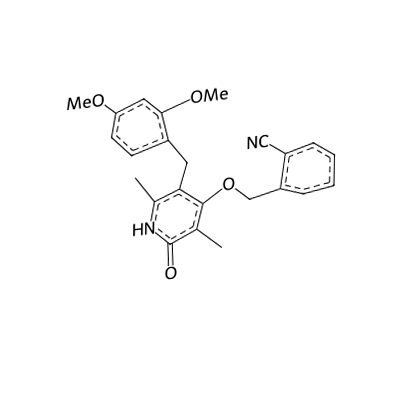 COc1ccc(Cc2c(C)[nH]c(=O)c(C)c2OCc2ccccc2C#N)c(OC)c1